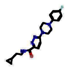 O=C(NCCC1CC1)c1ccc(N2CCN(c3ccc(F)cc3)CC2)nn1